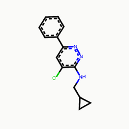 Clc1cc(-c2ccccc2)nnc1NCC1CC1